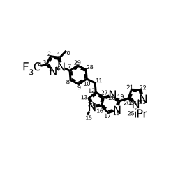 Cc1cc(C(F)(F)F)nn1-c1ccc(Cc2cn(C)c3cnc(-c4ccnn4C(C)C)nc23)cc1